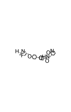 COc1ncccc1CNC(=O)C12CCC(c3ccc(OCC(=CF)CN)cc3)(CC1)CC2